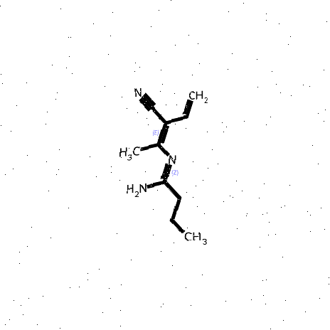 C=C/C(C#N)=C(C)\N=C(/N)CCC